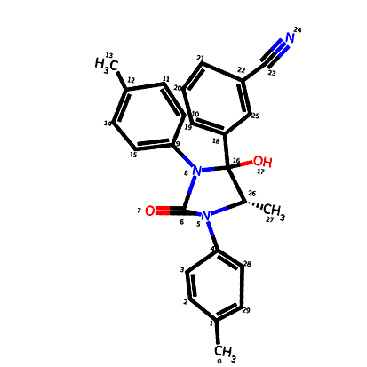 Cc1ccc(N2C(=O)N(c3ccc(C)cc3)C(O)(c3cccc(C#N)c3)[C@@H]2C)cc1